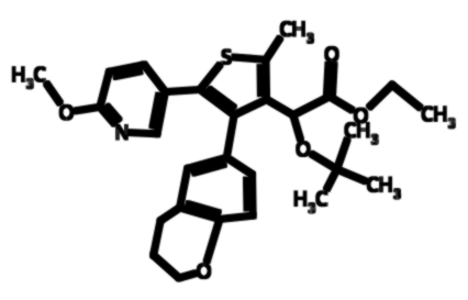 CCOC(=O)C(OC(C)(C)C)c1c(C)sc(-c2ccc(OC)nc2)c1-c1ccc2c(c1)CCCO2